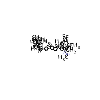 C=C(/C=C\C=C/C)[C@@H](NC(=O)OC)C(=O)N1C[C@@H](COC(F)F)C[C@H]1c1nc2ccc3cc4c(cc3c2[nH]1)OCc1cc(-c2cnc([C@@H]3C[C@H]5C[C@H]5N3C(=O)[C@@H](NC(=O)OC)C(C)C)[nH]2)ccc1-4